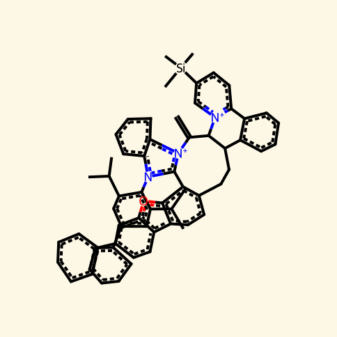 C=C1C2C(CCc3ccc4c(oc5cc(-c6ccccc6)ccc54)c3-c3n(-c4c(C(C)C)cc(-c5ccccc5)cc4C(C)C)c4ccccc4[n+]31)c1ccccc1-c1ccc([Si](C)(C)C)c[n+]12